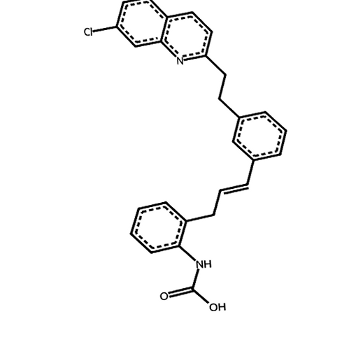 O=C(O)Nc1ccccc1CC=Cc1cccc(CCc2ccc3ccc(Cl)cc3n2)c1